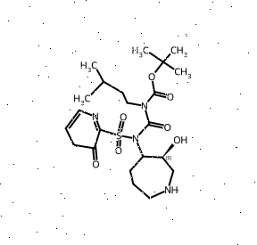 CC(C)CCN(C(=O)OC(C)(C)C)C(=O)N(C1CCCNC[C@@H]1O)S(=O)(=O)C1=NC=CCC1=O